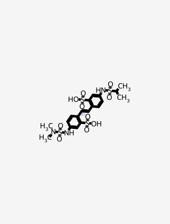 CC(C)S(=O)(=O)Nc1ccc(/C=C/c2ccc(NS(=O)(=O)N(C)C)cc2S(=O)(=O)O)c(S(=O)(=O)O)c1